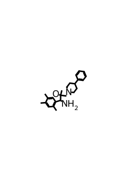 Cc1cc(C)c2c(c1C)OC(C)(CN1CCC(c3ccccc3)CC1)C2N